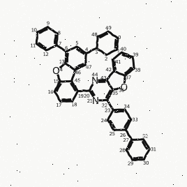 C1=CCC(c2cc(-c3ccccc3)c3oc4cccc(-c5nc(-c6ccc(-c7ccccc7)cc6)c6oc7ccccc7c6n5)c4c3c2)C=C1